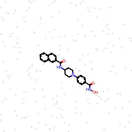 O=C(NO)c1ccc(N2CCC(NC(=O)c3ccc4ccccc4c3)CC2)cc1